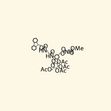 COC(=O)CNC(=O)OCc1ccc(O[C@H]2O[C@H](COC(C)=O)[C@@H](OC(C)=O)[C@H](OC(C)=O)[C@@H]2OC(C)=O)c(NC(=O)CCNC(=O)OCC2c3ccccc3-c3ccccc32)c1